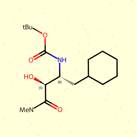 CNC(=O)[C@@H](O)[C@@H](CC1CCCCC1)NC(=O)OC(C)(C)C